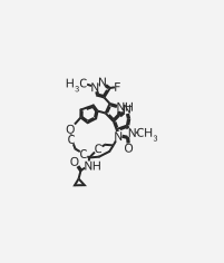 Cn1cc(-c2[nH]c3ncc4c5c3c2-c2ccc(cc2)OCCCC2(NC(=O)C3CC3)CCC(CC2)n5c(=O)n4C)c(F)n1